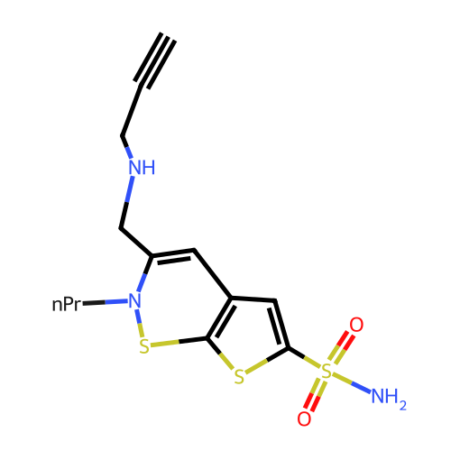 C#CCNCC1=Cc2cc(S(N)(=O)=O)sc2SN1CCC